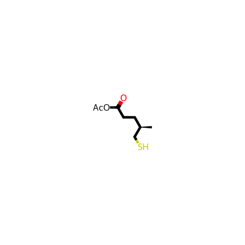 CC(=O)OC(=O)CC[C@@H](C)CS